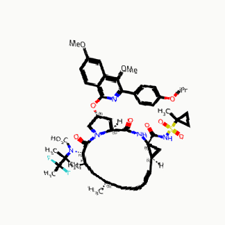 COc1ccc2c(O[C@@H]3C[C@H]4C(=O)N[C@]5(C(=O)NS(=O)(=O)C6(C)CC6)C[C@H]5C=CCC[C@H](C)C[C@@H](C)[C@H](N(C(=O)O)C(C)(C)C(C)(F)F)C(=O)N4C3)nc(-c3ccc(OC(C)C)cc3)c(OC)c2c1